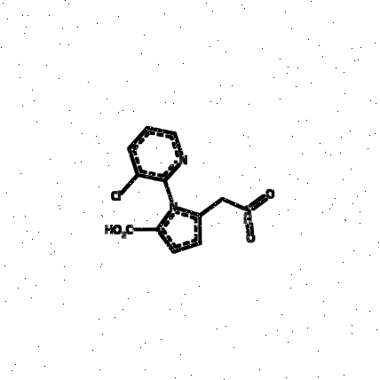 O=C(O)c1ccc(C[SH](=O)=O)n1-c1ncccc1Cl